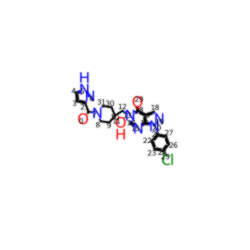 O=C(c1cc[nH]n1)N1CCC(O)(Cn2cnc3c(cnn3-c3ccc(Cl)cc3)c2=O)CC1